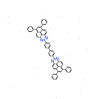 c1ccc(-c2cc(-c3ccccc3)c3ccc4nc(-c5ccc(-c6ccc(-c7nc8ccc9c(-c%10ccccc%10)cc(-c%10ccccc%10)c%10ccc(n7)c8c9%10)cc6)cc5)nc5ccc2c3c54)cc1